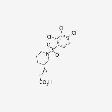 O=C(O)COC1CCCN(S(=O)(=O)c2ccc(Cl)c(Cl)c2Cl)C1